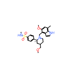 CNS(=O)(=O)c1ccc([C@@H]2CC(COC)CCN2Cc2c(OC)cc(C)c3[nH]ccc23)cc1